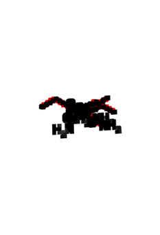 CCCCCCCC/C=C\CCCCCCCC(=O)N(CCCCN(CCCN(CCCCC(=O)[C@H](N)CCCCN)C(=O)CCCCCCC/C=C\CCCCCCCC)C(=O)CCCCCCC/C=C\CCCCCCCC)CCCNC(=O)[C@H](N)CCCCN